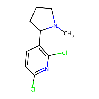 CN1CCCC1c1ccc(Cl)nc1Cl